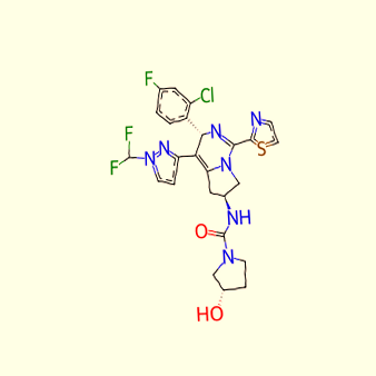 O=C(N[C@H]1CC2=C(c3ccn(C(F)F)n3)[C@H](c3ccc(F)cc3Cl)N=C(c3nccs3)N2C1)N1CC[C@H](O)C1